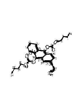 CCCCOC(=O)Oc1c2ccccc2c(OC(=O)OCCCC)c2cc(CC)ccc12